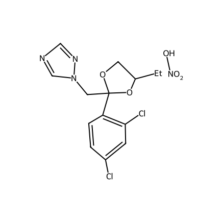 CCC1COC(Cn2cncn2)(c2ccc(Cl)cc2Cl)O1.O=[N+]([O-])O